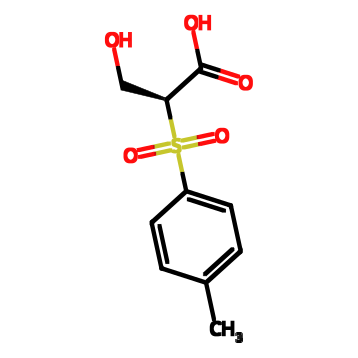 Cc1ccc(S(=O)(=O)[C@@H](CO)C(=O)O)cc1